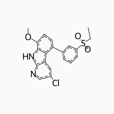 CCS(=O)(=O)c1cccc(-c2ccc(OC)c3[nH]c4ncc(Cl)cc4c23)c1